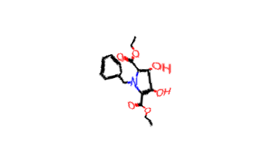 CCOC(=O)c1c(O)c(O)c(C(=O)OCC)n1Cc1ccccc1